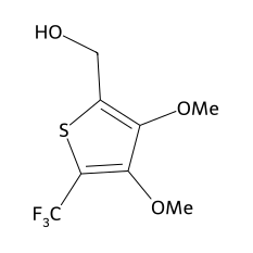 COc1c(CO)sc(C(F)(F)F)c1OC